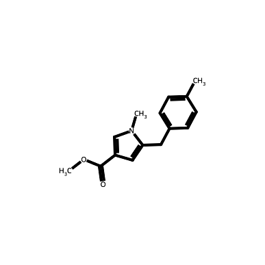 COC(=O)c1cc(Cc2ccc(C)cc2)n(C)c1